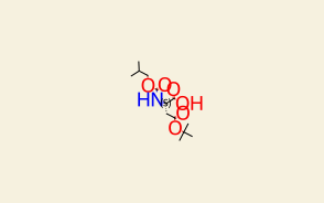 CC(C)COC(=O)N[C@@H](CC(=O)OC(C)(C)C)C(=O)O